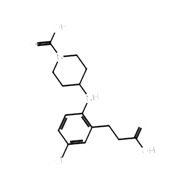 O=C(O)CCc1cc(Cl)ccc1NC1CCN(C(=O)O)CC1